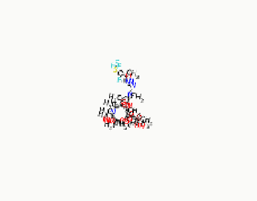 CC[C@H]1OC(=O)[C@H](C)[C@@H](O[C@H]2C[C@@](C)(OC)[C@@H](O)[C@H](C)O2)[C@H](C)[C@@H](O[C@H]2C[C@@H](N(C)CCc3cn([C@H](CF)[C@H](OC)c4ccc(SC(F)(F)F)cc4)nn3)C[C@@H](C)O2)[C@](C)(O)C[C@@H](C)CN(C)[C@H](C)[C@@H](O)[C@]1(C)O